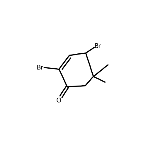 CC1(C)CC(=O)C(Br)=CC1Br